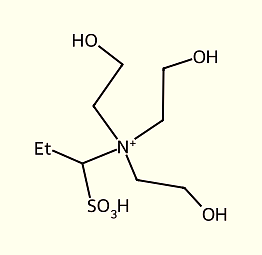 CCC([N+](CCO)(CCO)CCO)S(=O)(=O)O